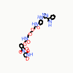 O=C(COc1cccc2c1C(=O)N(C1CCC(=O)NC1=O)C2=O)NCCOCCOCCC(=O)Nc1cccc(Nc2cc(-c3c[nH]c4ccccc34)ncn2)c1